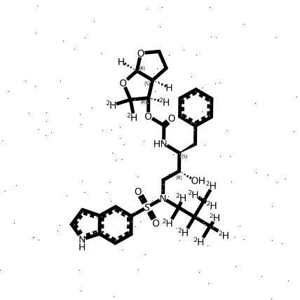 [2H]C([2H])([2H])C([2H])(C([2H])([2H])[2H])C([2H])([2H])N(C[C@@H](O)[C@H](Cc1ccccc1)NC(=O)O[C@]1([2H])[C@@H]2CCO[C@@H]2OC1([2H])[2H])S(=O)(=O)c1ccc2[nH]ccc2c1